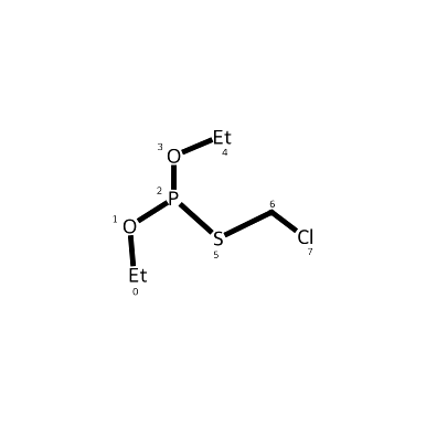 CCOP(OCC)SCCl